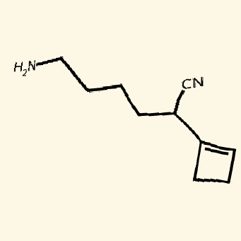 N#CC(CCCCN)C1=CCC1